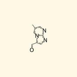 Cc1cnc2ncc(C=O)n2c1